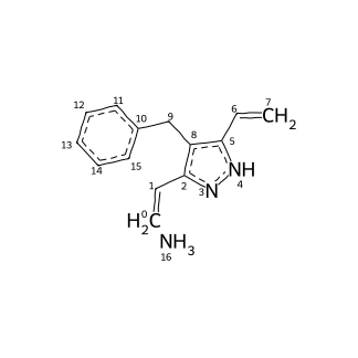 C=Cc1n[nH]c(C=C)c1Cc1ccccc1.N